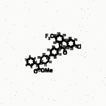 COC(=O)C(c1ccccc1)N1CCN(c2ccc(NC(=O)c3cc(Cl)ccc3-c3ccc(C(F)(F)F)cc3)cc2)CC1